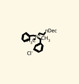 CCCCCCCCCCCC[N+](C)(Cc1ccccc1)C(C)c1ccccc1.[Cl-]